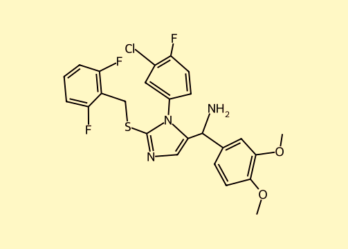 COc1ccc(C(N)c2cnc(SCc3c(F)cccc3F)n2-c2ccc(F)c(Cl)c2)cc1OC